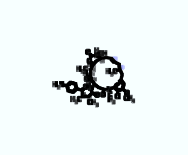 COc1cc2cc(c1Cl)N(C)C(=O)C[C@H](OC(=O)[C@H](C)N(C)C(=O)c1ccc(N)cc1)[C@@H]1O[C@H]1[C@H](C)[C@@H]1C[C@](O)(C/C=C/C=C(\C)C2)NC(=O)O1